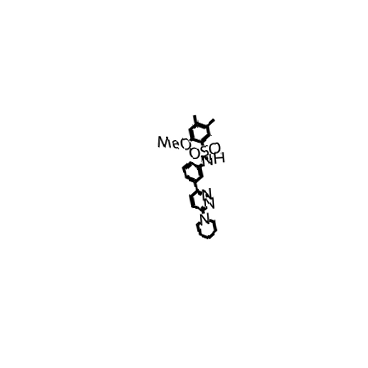 COc1cc(C)c(C)cc1S(=O)(=O)Nc1cccc(-c2ccc(N3CCCCC3)nn2)c1